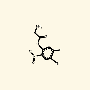 NCC(=O)Oc1cc(F)c(Br)cc1[N+](=O)[O-]